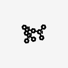 c1ccc(-c2cc(-c3ccc(-c4nc5ccccc5c5ccc6c(nc(-c7ccccc7)n6-c6ccccc6)c45)cc3)cc(-c3ccccc3)n2)cc1